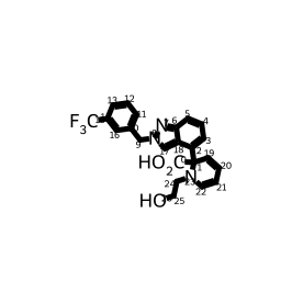 O=C(O)C1(c2cccc3nn(Cc4cccc(C(F)(F)F)c4)cc23)C=CC=CN1CCO